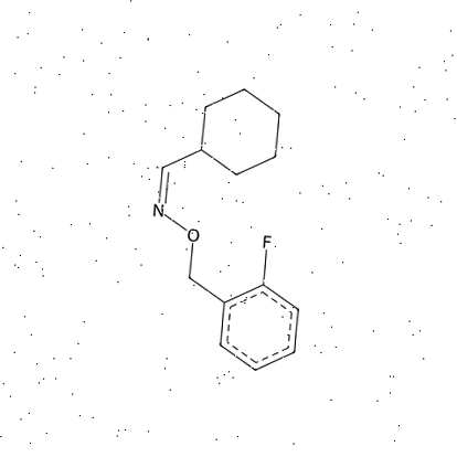 Fc1ccccc1CO/N=[C]\C1CCCCC1